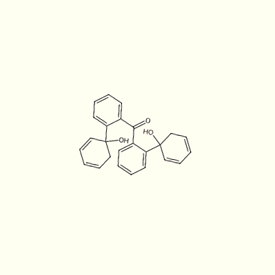 O=C(c1ccccc1C1(O)C=CC=CC1)c1ccccc1C1(O)C=CC=CC1